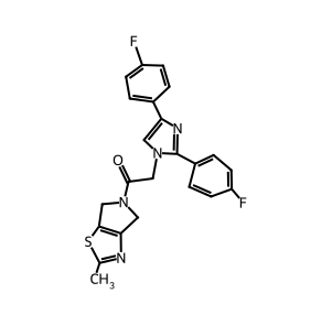 Cc1nc2c(s1)CN(C(=O)Cn1cc(-c3ccc(F)cc3)nc1-c1ccc(F)cc1)C2